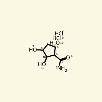 Cl.Cl.NC(=O)C1CCC(O)C1O.O